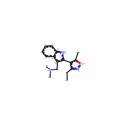 CCc1noc(C)c1-c1[nH]c2ccccc2c1CN(C)C